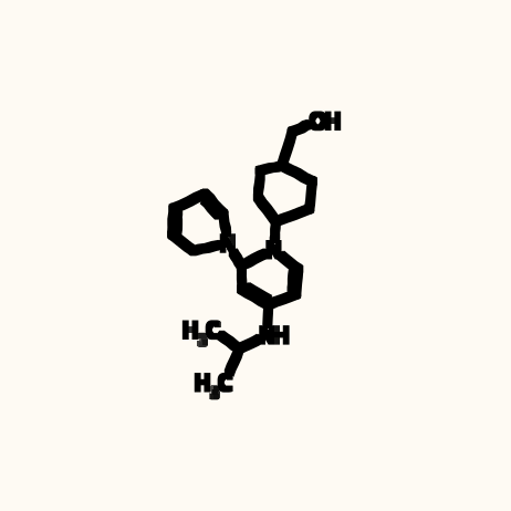 CC(C)NC1=CC(N2C=CC=CC2)N(C2CCC(CO)CC2)C=C1